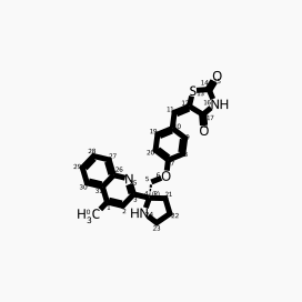 Cc1cc([C@@]2(COc3ccc(C=C4SC(=O)NC4=O)cc3)CCCN2)nc2ccccc12